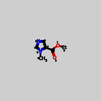 CCOC(=O)c1cncn1C